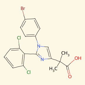 CC(C)(C(=O)O)c1cn(-c2ccc(Br)cc2)c(-c2c(Cl)cccc2Cl)n1